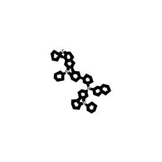 c1ccc(-n2c3ccccc3c3ccc(N(c4cccc(-c5ccc6c(c5)c5cc7ccc8sc9ccccc9c8c7cc5n6-c5ccccc5)c4)c4ccc5ccccc5c4)cc32)cc1